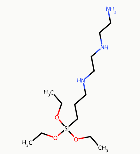 CCO[Si](CCCNCCNCCN)(OCC)OCC